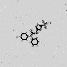 C[C@H]1CC[C@H](N(C(=O)Nc2nnc(S(=O)(=O)O)s2)C2CCCCC2)CC1